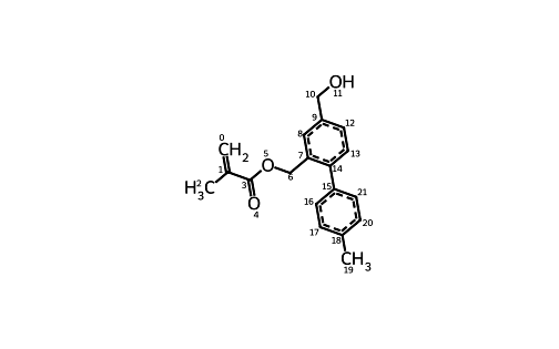 C=C(C)C(=O)OCc1cc(CO)ccc1-c1ccc(C)cc1